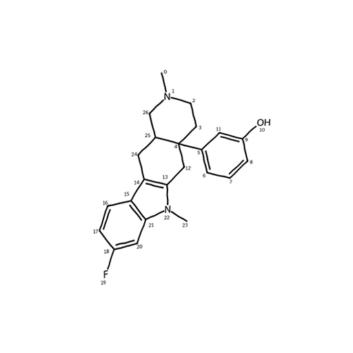 CN1CCC2(c3cccc(O)c3)Cc3c(c4ccc(F)cc4n3C)CC2C1